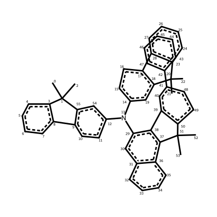 CC1(C)c2ccccc2-c2ccc(N(c3ccc4c(c3)C(C)(C)c3ccccc3-4)c3cc4ccccc4c4c3-c3cc(-c5ccccc5)ccc3C4(C)C)cc21